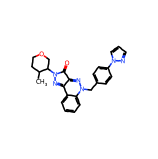 CC1CCOCC1n1nc2c3ccccc3n(Cc3ccc(-n4cccn4)cc3)nc-2c1=O